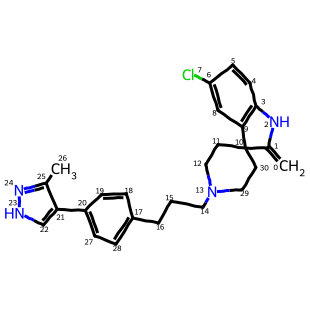 C=C1Nc2ccc(Cl)cc2C12CCN(CCCc1ccc(-c3c[nH]nc3C)cc1)CC2